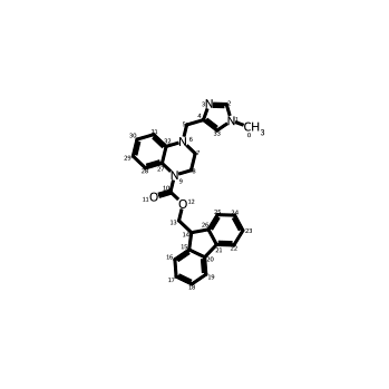 Cn1cnc(CN2CCN(C(=O)OCC3c4ccccc4-c4ccccc43)c3ccccc32)c1